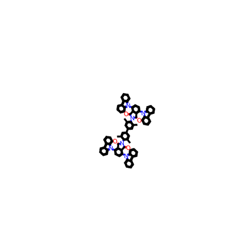 Cc1cc(-c2cc(C)c(N3C(=O)c4c(-n5c6ccccc6c6ccccc65)ccc(-n5c6ccccc6c6ccccc65)c4C3=O)c(C)c2)cc(C)c1N1C(=O)c2c(-n3c4ccccc4c4ccccc43)ccc(-n3c4ccccc4c4ccccc43)c2C1=O